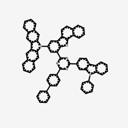 c1ccc(-c2ccc(-c3nc(-c4ccc5c6ccccc6n(-c6ccccc6)c5c4)nc(-c4cc(-n5c6cc7ccccc7cc6c6cc7ccccc7cc65)cc5c4oc4c6ccccc6ccc54)n3)cc2)cc1